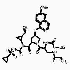 C=CC(=O)NCC(NC(=O)OC(C)(C)C)C(=O)N1CC(Oc2nccc3cc(OC)ccc23)CC1C(=O)N(C(=O)NS(=O)(=O)C1CC1)C1CC1C=C